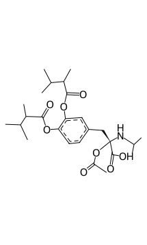 CC(=O)O[C@](Cc1ccc(OC(=O)C(C)C(C)C)c(OC(=O)C(C)C(C)C)c1)(NC(C)C)C(=O)O